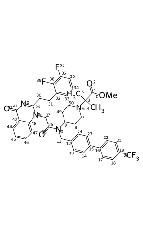 COC(=O)C(C)(C)N1CCC(N(Cc2ccc(-c3ccc(C(F)(F)F)cc3)cc2)C(=O)Cn2c(CCc3cccc(F)c3F)nc(=O)c3ccccc32)CC1